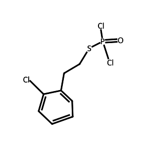 O=P(Cl)(Cl)SCCc1ccccc1Cl